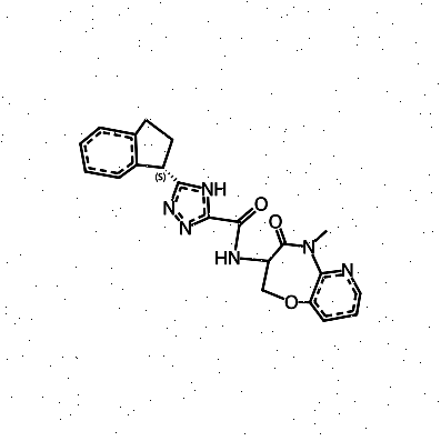 CN1C(=O)C(NC(=O)c2nnc([C@H]3CCc4ccccc43)[nH]2)COc2cccnc21